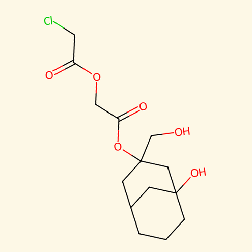 O=C(CCl)OCC(=O)OC1(CO)CC2CCCC(O)(C2)C1